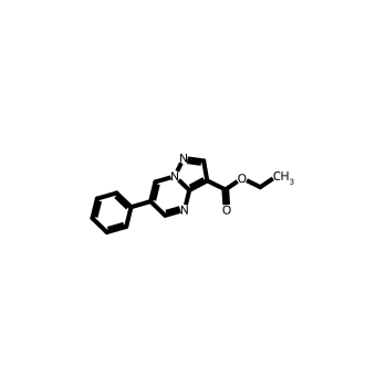 CCOC(=O)c1cnn2cc(-c3ccccc3)cnc12